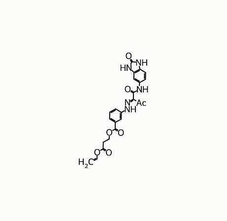 C=COC(=O)CCOC(=O)c1cccc(N/N=C(\C(C)=O)C(=O)Nc2ccc3[nH]c(=O)[nH]c3c2)c1